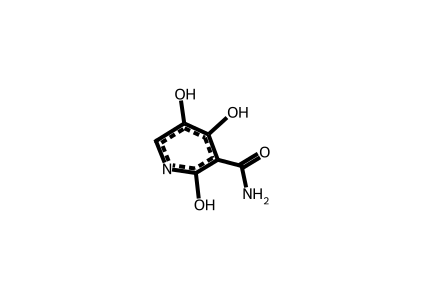 NC(=O)c1c(O)ncc(O)c1O